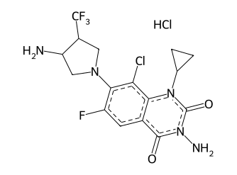 Cl.NC1CN(c2c(F)cc3c(=O)n(N)c(=O)n(C4CC4)c3c2Cl)CC1C(F)(F)F